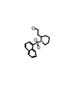 O=S(=O)(c1cccc2ccccc12)N1CCCCC1CCCl